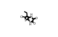 CCc1c(Cl)sc2[nH]c(=O)c(=O)[nH]c12